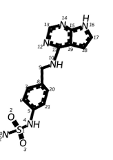 NS(=O)(=O)Nc1ccc(CNc2ncnc3[nH]ccc23)cc1